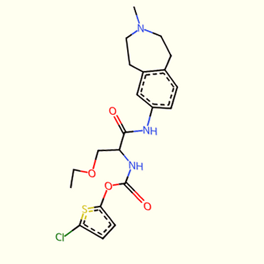 CCOCC(NC(=O)Oc1ccc(Cl)s1)C(=O)Nc1ccc2c(c1)CCN(C)CC2